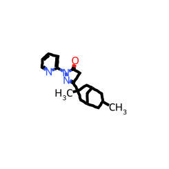 CC1CC2CC(C1)CC(C)(C1=NN(c3ccccn3)C(=O)C1)C2